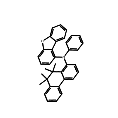 CC1(C)c2ccccc2-c2cccc(N(c3ccccc3)c3cccc4oc5ccccc5c34)c2C1(C)C